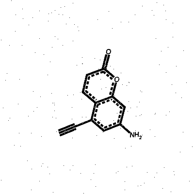 C#Cc1cc(N)cc2oc(=O)ccc12